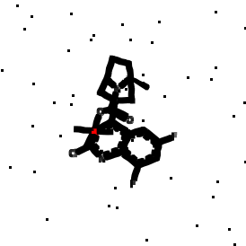 CC(C)(C)OC(=O)N1C2CC[C@]1(C)CN(c1nc(Cl)nc3c(F)cc(F)cc13)C2